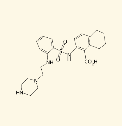 O=C(O)c1c(NS(=O)(=O)c2ccccc2NCCN2CCNCC2)ccc2c1CCCC2